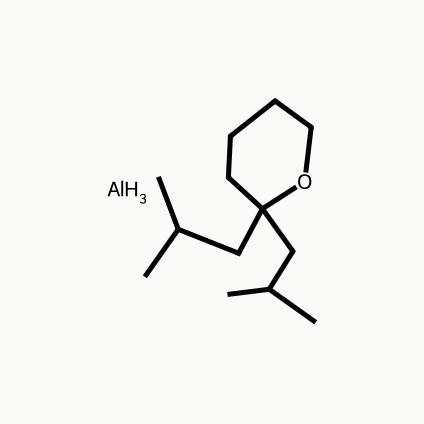 CC(C)CC1(CC(C)C)CCCCO1.[AlH3]